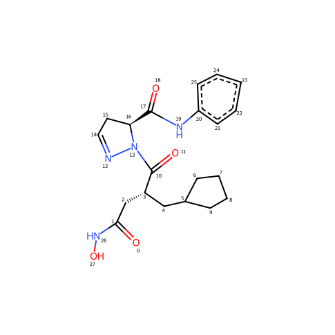 O=C(C[C@@H](CC1CCCC1)C(=O)N1N=CC[C@H]1C(=O)Nc1ccccc1)NO